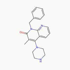 Cc1c(N2CCNCC2)c2cccnc2n(Cc2ccccc2)c1=O